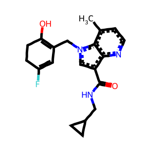 Cc1ccnc2c(C(=O)NCC3CC3)cn(CC3=C(O)CCC(F)=C3)c12